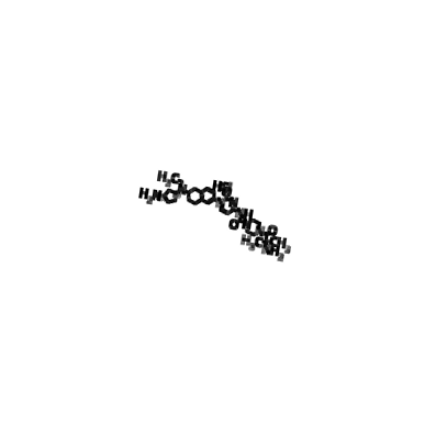 CCN(C1CCc2cc(-n3ccc(NC(=O)N4CCN(C(=O)C(C)(C)N)CC4)nc3=O)ccc2C1)[C@H]1CC[C@H](N)C1.Cl